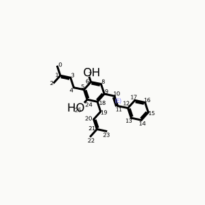 CC(C)=CCc1c(O)cc(/C=C/c2ccccc2)c(CC=C(C)C)c1O